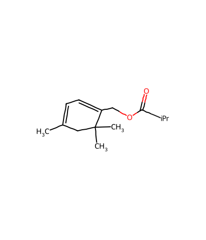 CC1=CC=C(COC(=O)C(C)C)C(C)(C)C1